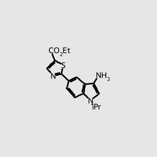 CCOC(=O)c1cnc(-c2ccc3c(c2)c(N)cn3C(C)C)s1